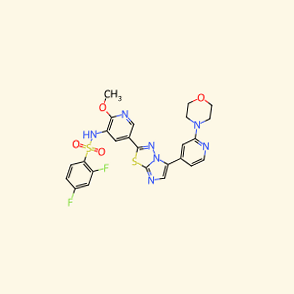 COc1ncc(-c2nn3c(-c4ccnc(N5CCOCC5)c4)cnc3s2)cc1NS(=O)(=O)c1ccc(F)cc1F